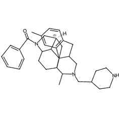 Cc1ccc2c(c1)C13C(C2)CN(CC2CCNCC2)C(C)C12CCC1C3[C@@H](CN1C(=O)c1ccccc1)C2